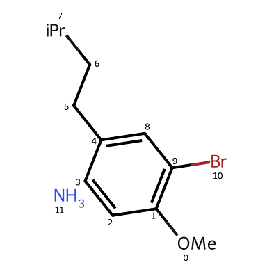 COc1ccc(CCC(C)C)cc1Br.N